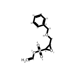 C=COS(=O)(=O)C1OC1COCc1ccccc1